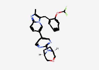 Cc1nc2ccc(-c3cnc(N4[C@@H]5CC[C@H]4COC5)nc3)cn2c1Cc1ccccc1OC(F)F